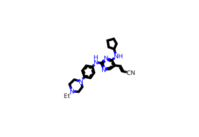 CCN1CCN(c2ccc(Nc3ncc(C=CC#N)c(NC4CCCC4)n3)cc2)CC1